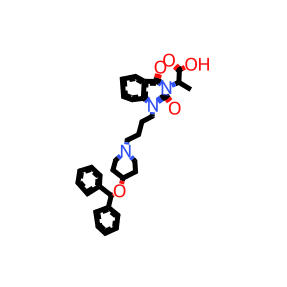 CC(C(=O)O)n1c(=O)c2ccccc2n(CCCCN2CCC(OC(c3ccccc3)c3ccccc3)CC2)c1=O